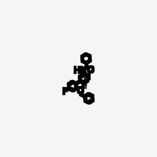 O=C(Nc1cc(-c2ccc(F)cc2OCc2ccccc2)c(F)cn1)C1CCCCC1